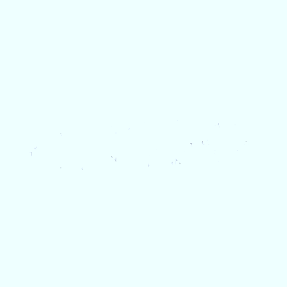 Cc1ccc(-c2nc3cc4nc(-c5ccc(C(C)C)cc5)oc4cc3o2)cc1